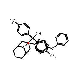 OC(c1ccc(C(F)(F)F)cc1)(c1ccc(C(F)(F)F)cc1)C1CC2CCCC(C1)N2Cc1ccc(Oc2ccccn2)cc1